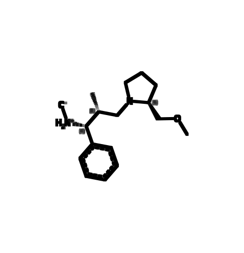 [CH2-][NH2+][C@@H](c1ccccc1)[C@H](C)CN1CCC[C@H]1COC